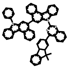 CC1(C)c2ccccc2C2C=CC(c3nc(-n4c5ccccc5c5c6ccccc6c(-c6cc7c(c8ccccc68)c6ccccc6n7-c6ccccc6)cc54)nc4ccccc34)=CC21